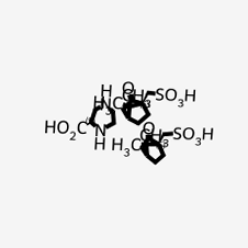 CC1(C)C2CC[C@@]1(CS(=O)(=O)O)C(=O)C2.CC1(C)C2CC[C@@]1(CS(=O)(=O)O)C(=O)C2.O=C(O)[C@@H]1CNCCN1